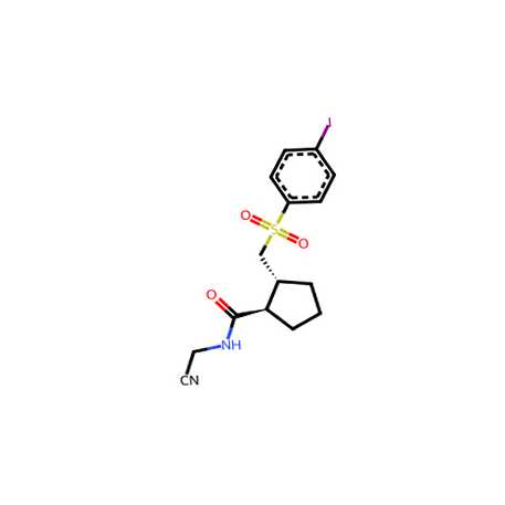 N#CCNC(=O)[C@@H]1CCC[C@H]1CS(=O)(=O)c1ccc(I)cc1